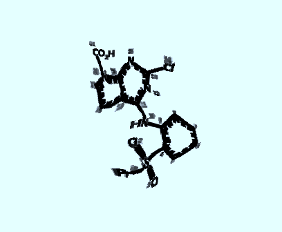 CC(C)S(=O)(=O)c1ccccc1Nc1nc(Cl)nc2c1ccn2C(=O)O